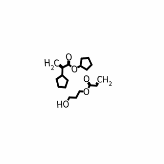 C=C(C(=O)OC1CCCC1)C1CCCC1.C=CC(=O)OCCCO